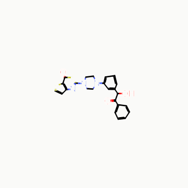 O=C(c1ccccc1)C(O)c1cccc(N2CCN(c3nc4ccsc4c(=O)s3)CC2)c1